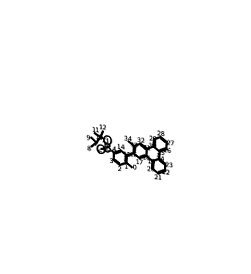 Cc1ccc(B2OC(C)(C)C(C)(C)O2)cc1-c1cc2c3ccccc3c3ccccc3c2cc1C